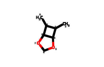 CC1C(C)C2OCOC12